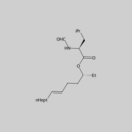 CCCCCCC/C=C/CC[C@@H](CC)OC(=O)[C@H](CC(C)C)NC=O